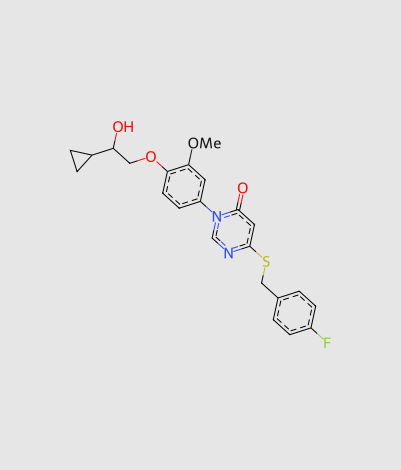 COc1cc(-n2cnc(SCc3ccc(F)cc3)cc2=O)ccc1OCC(O)C1CC1